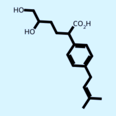 CC(C)=CCc1ccc(C(CCC(O)CO)C(=O)O)cc1